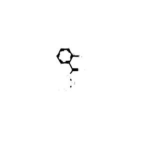 CC(=O)NNNC(=O)c1ccccc1[N+](=O)[O-]